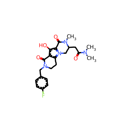 CN(C)C(=O)CC1Cn2c3c(c(O)c2C(=O)N1C)C(=O)N(Cc1ccc(F)cc1)CC3